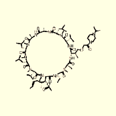 C/C=C/C[C@@H](C)[C@@H](OC(C)=O)[C@H]1C(=O)N[C@@H](CC)C(=O)N(C)[C@H](C)C(=O)N[C@@H]([C@H](C)COCC(=O)N2CCN(C(C)C)CC2)C(=O)N[C@@H](C(C)C)C(=O)N(C)[C@@H](CC(C)C)C(=O)N[C@@H](C)C(=O)N[C@H](C)C(=O)N(C)[C@@H](CC(C)C)C(=O)N(C)[C@@H](CC(C)C)C(=O)N(C)[C@@H](C(C)C)C(=O)N1C